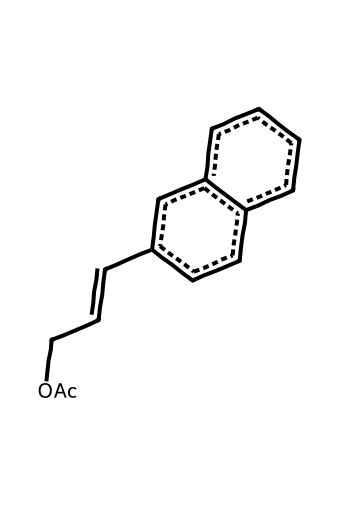 CC(=O)OC/C=C/c1ccc2ccccc2c1